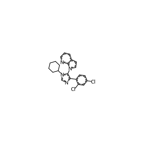 Clc1ccc(-c2ncn(C3CCCCC3)c2-n2ccc3cccnc32)c(Cl)c1